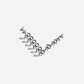 CS[c+]1sc2c(s1)SCCS2.CS[c+]1sc2c(s1)SCCS2.CS[c+]1sc2c(s1)SCCS2.CS[c+]1sc2c(s1)SCCS2.CS[c+]1sc2c(s1)SCCS2.CS[c+]1sc2c(s1)SCCS2.CS[c+]1sc2c(s1)SCCS2.CS[c+]1sc2c(s1)SCCS2.[O-]B([O-])F.[O-]B([O-])F.[O-]B([O-])F.[O-]B([O-])F